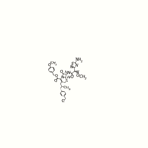 CO/N=C(\C(=O)N[C@@H]1C(=O)N2C(C(=O)OCc3ccc(OC)cc3)=C(CC(C)Cc3ccc(CCl)cc3)CS[C@H]12)c1nsc(N)n1